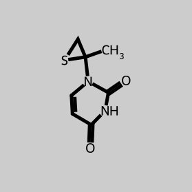 CC1(n2ccc(=O)[nH]c2=O)CS1